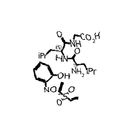 C=CS(=O)(=O)C=C.CC(C)C[C@H](NC(=O)[C@@H](N)CC(C)C)C(=O)NCC(=O)O.O=[N+]([O-])c1ccccc1O